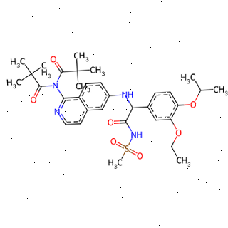 CCOc1cc(C(Nc2ccc3c(N(C(=O)C(C)(C)C)C(=O)C(C)(C)C)nccc3c2)C(=O)NS(C)(=O)=O)ccc1OC(C)C